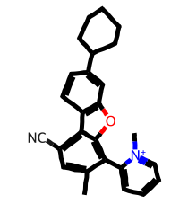 Cc1cc(C#N)c2c(oc3cc(C4CCCCC4)ccc32)c1-c1cccc[n+]1C